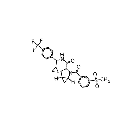 CS(=O)(=O)c1cccc(C(=O)N2[C@@H](C(=O)N[C@@H](c3ccc(C(F)(F)F)cc3)C3CC3)C[C@H]3C[C@H]32)c1